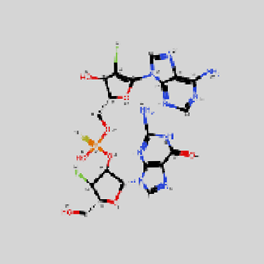 Nc1nc2c(ncn2[C@@H]2O[C@H](CO)[C@@H](F)[C@H]2OP(O)(=S)OC[C@H]2OC(n3cnc4c(N)ncnc43)=C(F)[C@@H]2O)c(=O)[nH]1